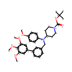 COc1ccc(N(Cc2cccc(-c3cc(OC)c(OC)c(OC)c3)c2)C2CCN(C(=O)OC(C)(C)C)CC2)cc1